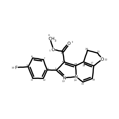 COC(=O)c1c(-c2ccc(F)cc2)nn2ccc3c(c12)CCO3